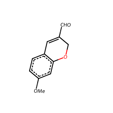 COc1ccc2c(c1)OCC(C=O)=C2